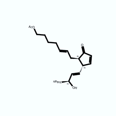 CCCCC[C@H](O)C=C[C@H]1C=CC(=O)[C@@H]1CC=CCCCCOC(C)=O